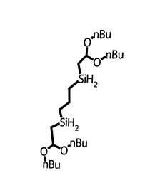 CCCCOC(C[SiH2]CCC[SiH2]CC(OCCCC)OCCCC)OCCCC